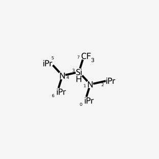 CC(C)N(C(C)C)[SiH](N(C(C)C)C(C)C)C(F)(F)F